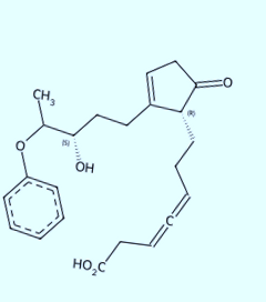 CC(Oc1ccccc1)[C@@H](O)CCC1=CCC(=O)[C@@H]1CCC=C=CCC(=O)O